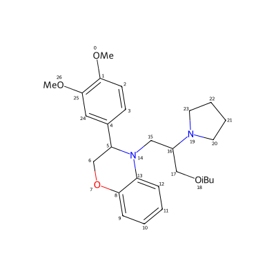 COc1ccc(C2COc3ccccc3N2CC(COCC(C)C)N2CCCC2)cc1OC